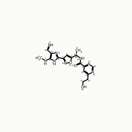 CNc1[nH]c(-c2cc([C@@H](C)NC(=O)c3cc(CCO)ncn3)on2)nc1C=N